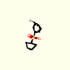 O=S(=O)(c1cccc(Br)c1)C1CCCC1